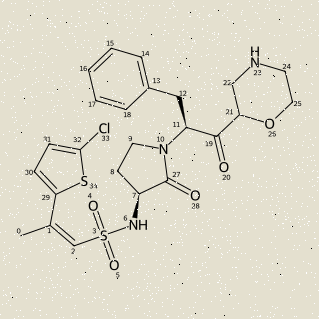 CC(=CS(=O)(=O)N[C@H]1CCN([C@@H](Cc2ccccc2)C(=O)C2CNCCO2)C1=O)c1ccc(Cl)s1